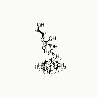 C=C.C=C.C=C.C=C.C=C.C=C.O=P(O)(O)OCCO